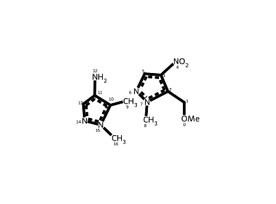 COCc1c([N+](=O)[O-])cnn1C.Cc1c(N)cnn1C